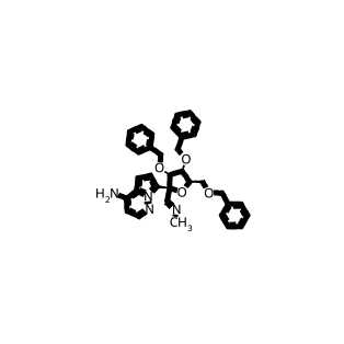 CN=C[C@@]1(c2ccc3c(N)ccnn23)O[C@H](COCc2ccccc2)[C@@H](OCc2ccccc2)[C@H]1OCc1ccccc1